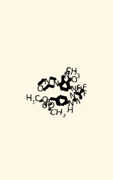 CCOP(=O)(Cc1ccc(Nc2ncc(C(F)(F)F)c(Nc3ccc(N4CCN5CCOCC5C4)c4c3C(=O)N(C)C4)n2)cc1)OCC